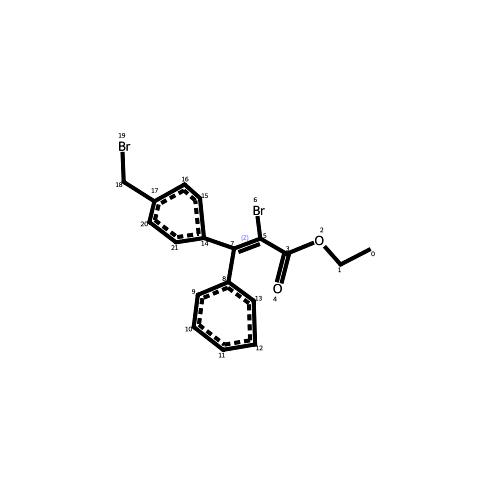 CCOC(=O)/C(Br)=C(\c1ccccc1)c1ccc(CBr)cc1